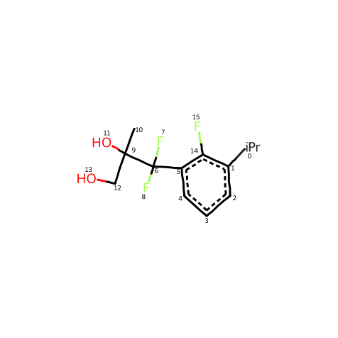 CC(C)c1cccc(C(F)(F)C(C)(O)CO)c1F